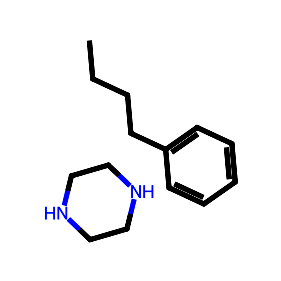 C1CNCCN1.CCCCc1ccccc1